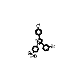 CS(=O)(=O)c1ccc(-n2nc(-c3ccc(Cl)cc3)cc2-c2cccc(Br)c2)cc1